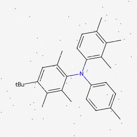 Cc1ccc(N(c2ccc(C)c(C)c2C)c2c(C)cc(C(C)(C)C)c(C)c2C)cc1